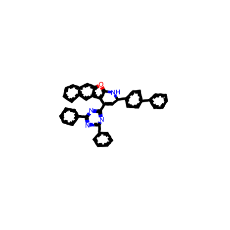 C1=C(c2nc(-c3ccccc3)nc(-c3ccccc3)n2)c2c(oc3cc4ccccc4cc23)NC1c1ccc(-c2ccccc2)cc1